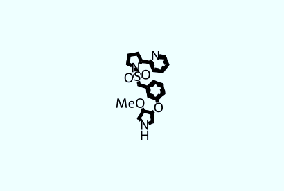 COC1CNCC1Oc1cccc(CS(=O)(=O)N2CCCC2c2ccccn2)c1